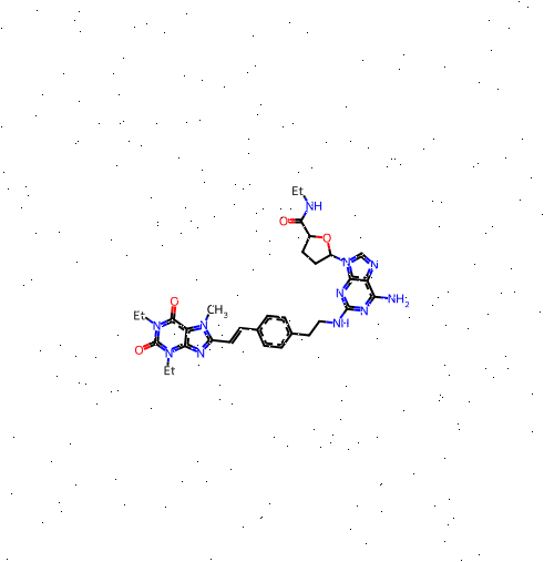 CCNC(=O)C1CCC(n2cnc3c(N)nc(NCCc4ccc(/C=C/c5nc6c(c(=O)n(CC)c(=O)n6CC)n5C)cc4)nc32)O1